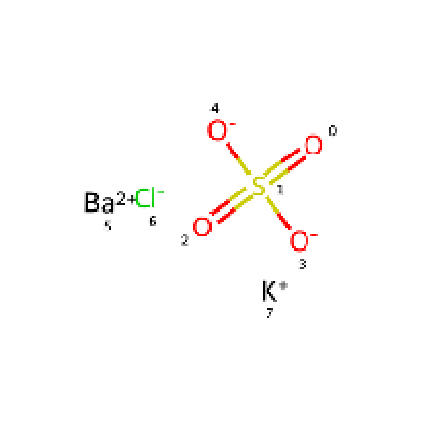 O=S(=O)([O-])[O-].[Ba+2].[Cl-].[K+]